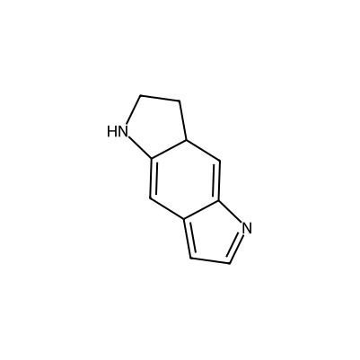 C1=NC2=CC3CCNC3=CC2=C1